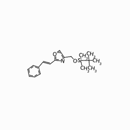 CC(C)(C)[Si](C)(C)OCc1coc(C=Cc2ccccc2)n1